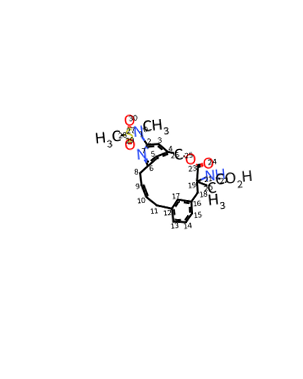 CN(c1cc2cc(n1)CC=CCc1cccc(c1)CC(C)(NC(=O)O)C(=O)OC2)S(C)(=O)=O